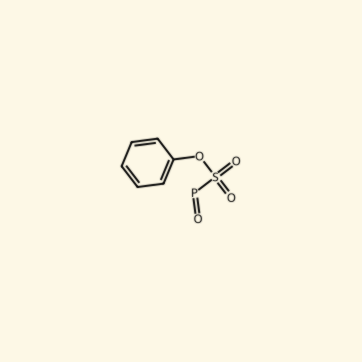 O=PS(=O)(=O)Oc1ccccc1